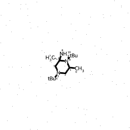 CC1CN(C(C)(C)C)C[C@@](C)(N)N1C(C)(C)C